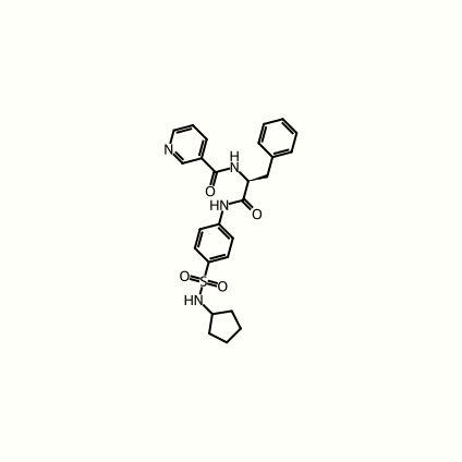 O=C(N[C@@H](Cc1ccccc1)C(=O)Nc1ccc(S(=O)(=O)NC2CCCC2)cc1)c1cccnc1